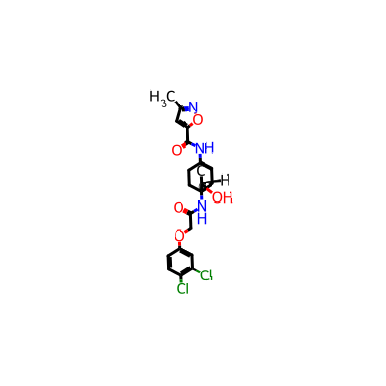 Cc1cc(C(=O)NC23CCC(NC(=O)COc4ccc(Cl)c(Cl)c4)(CC2)[C@@H](O)C3)on1